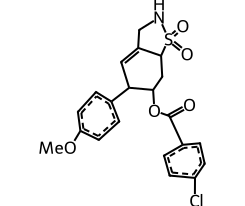 COc1ccc(C2C=C3CNS(=O)(=O)C3CC2OC(=O)c2ccc(Cl)cc2)cc1